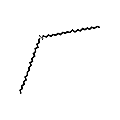 CCCCCCCCCCCCCCCCCCCCCCCC[N+](C)(C)CCCCCCCCCCCCCCCCCCCCCCCC